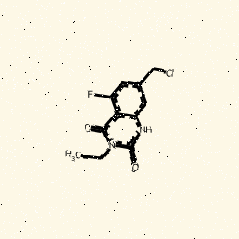 CCn1c(=O)[nH]c2cc(CCl)cc(F)c2c1=O